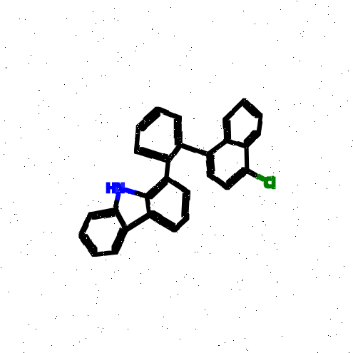 Clc1ccc(-c2ccccc2-c2cccc3c2[nH]c2ccccc23)c2ccccc12